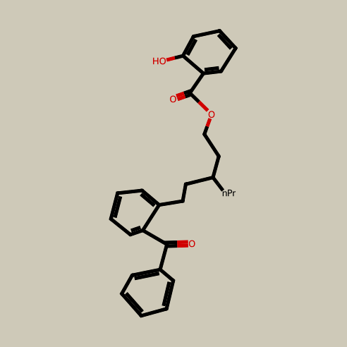 CCCC(CCOC(=O)c1ccccc1O)CCc1ccccc1C(=O)c1ccccc1